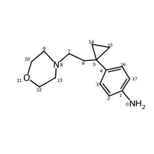 Nc1ccc(C2(CCN3CCOCC3)CC2)cc1